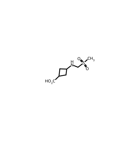 CS(=O)(=O)CNC1CC(C(=O)O)C1